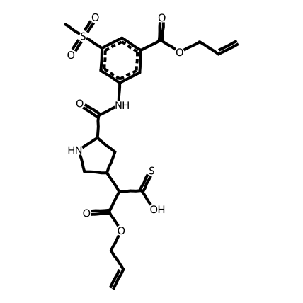 C=CCOC(=O)c1cc(NC(=O)C2CC(C(C(=O)OCC=C)C(O)=S)CN2)cc(S(C)(=O)=O)c1